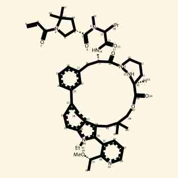 C=CC(=O)N1C[C@@H](C(=O)N(C)C(C(=O)N[C@H]2Cc3cccc(c3)-c3ccc4c(c3)c(c(-c3cccnc3[C@H](C)OC)n4CC)CC(C)(C)COC(=O)[C@@H]3CCCN(N3)C2=O)C(C)C)CC1(C)C